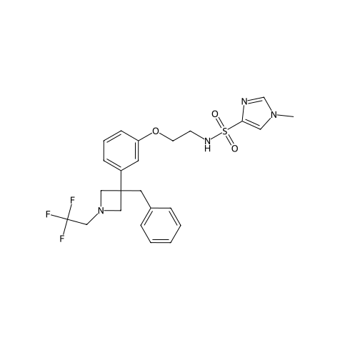 Cn1cnc(S(=O)(=O)NCCOc2cccc(C3(Cc4ccccc4)CN(CC(F)(F)F)C3)c2)c1